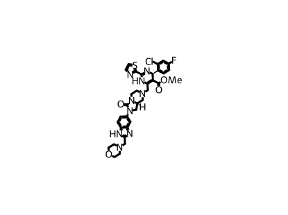 COC(=O)C1=C(CN2CCN3C(=O)N(c4ccc5[nH]c(CN6CCOCC6)nc5c4)C[C@@H]3C2)NC(c2nccs2)=N[C@H]1c1ccc(F)cc1Cl